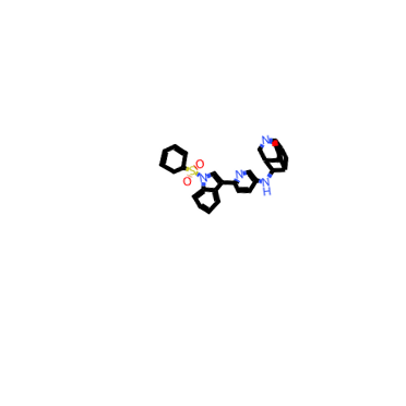 O=S(=O)(C1C=CC=CC1)n1cc(-c2ccc(NC3C4CC5CC3CN(C5)C4)cn2)c2ccccc21